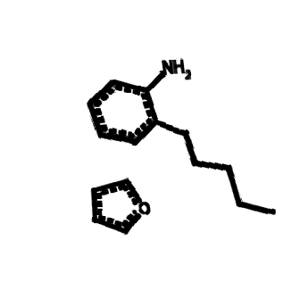 CCCCCc1ccccc1N.c1ccoc1